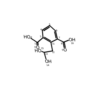 O=C(O)c1cccc(C(=O)O)c1CC(O)O